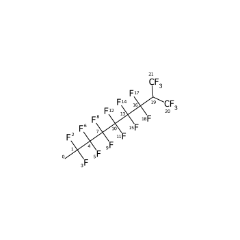 CC(F)(F)C(F)(F)C(F)(F)C(F)(F)C(F)(F)C(F)(F)C(C(F)(F)F)C(F)(F)F